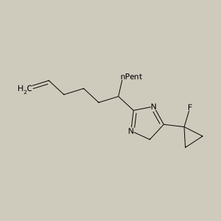 C=CCCCC(CCCCC)C1=NCC(C2(F)CC2)=N1